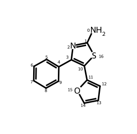 Nc1nc(-c2ccccc2)c(-c2ccco2)s1